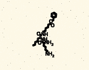 CCCCCC(NC(=O)C(N)CCCCN)C(=O)NCCCCCC(=O)OCc1ccccc1